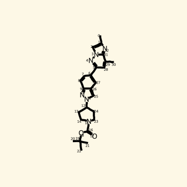 Cc1cn2nc(-c3ccc4nn(C5CCN(C(=O)OC(C)(C)C)CC5)cc4c3)cc(C)c2n1